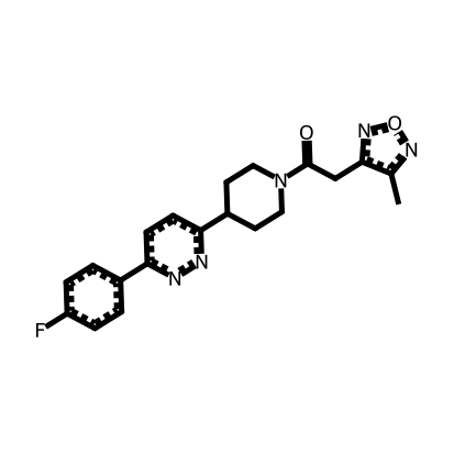 Cc1nonc1CC(=O)N1CCC(c2ccc(-c3ccc(F)cc3)nn2)CC1